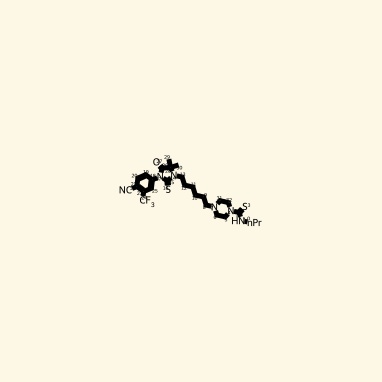 CCCNC(=S)N1CCN(CCCCCCN2C(=S)N(c3ccc(C#N)c(C(F)(F)F)c3)C(=O)C2(C)C)CC1